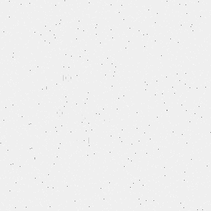 CCC(C)CC(O)S(=O)(=O)O